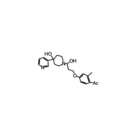 CC(=O)c1ccc(OCCC(O)N2CCC(O)(c3cccnc3)CC2)cc1C